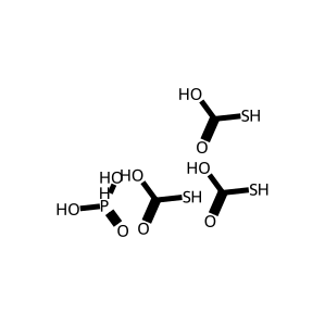 O=C(O)S.O=C(O)S.O=C(O)S.O=[PH](O)O